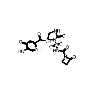 O=C(NC1CNC(=O)N1S(=O)(=O)NC(=O)N1CCC1=O)c1cc(=O)c(O)c[nH]1